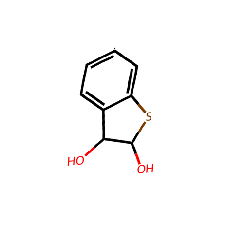 OC1Sc2c[c]ccc2C1O